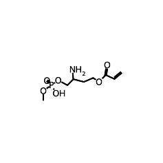 C=CC(=O)OCCC(N)COP(=O)(O)OC